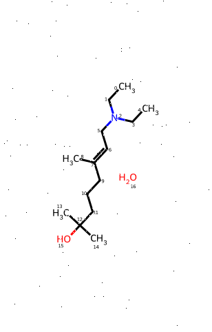 CCN(CC)C/C=C(\C)CCCC(C)(C)O.O